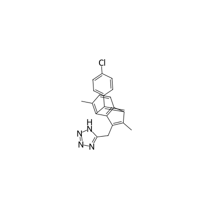 CC1=C(Cc2nnn[nH]2)c2c3ccc(C)c2C(c2ccc(Cl)cc2)=C13